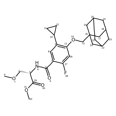 COC[C@H](NC(=O)c1cc(C2CC2)c(OCC23CC4CC(CC(C4)C2)C3)cc1F)C(=O)OC